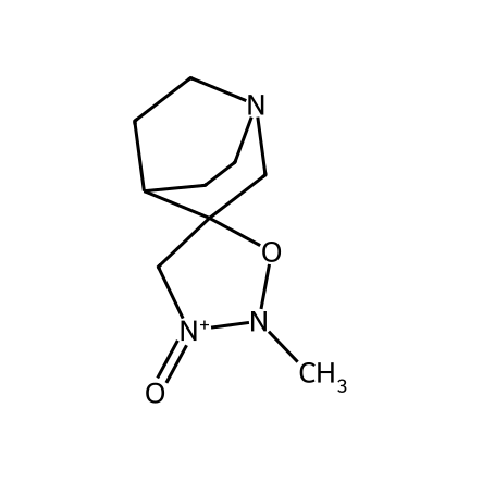 CN1OC2(CN3CCC2CC3)C[N+]1=O